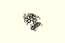 Cc1nc2c(cc(C(=O)N3[C@@H]4CC[C@H]3CC(N3CCOCC3)C4)n2C)c(-c2cc(F)c3c(c2C)CCCO3)c1[C@H](OC(C)(C)C)C(=O)O